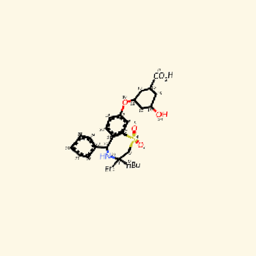 CCCCC1(CC)CS(=O)(=O)c2cc(OC3CC(O)CC(C(=O)O)C3)ccc2C(c2ccccc2)N1